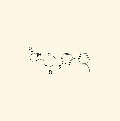 Cc1ccc(F)cc1-c1ccc2c(Cl)c(C(=O)N3CC4(CCC(=O)N4)C3)sc2c1